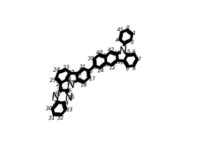 c1ccc(-n2c3ccccc3c3cc4cc(-c5ccc6c(c5)c5cccc7c8nc9ccccc9nc8n6c57)ccc4cc32)cc1